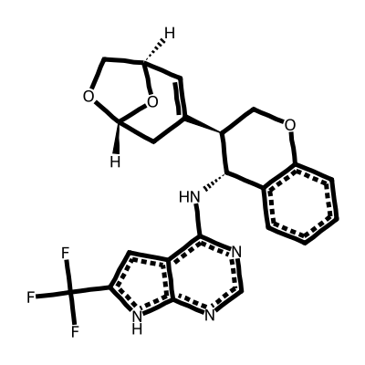 FC(F)(F)c1cc2c(N[C@H]3c4ccccc4OC[C@@H]3C3=C[C@@H]4CO[C@@H](C3)O4)ncnc2[nH]1